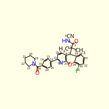 CC(C)(C(=O)NC#N)C1c2ccc(-c3ccc(C(=O)N4CCCCC4)cc3)nc2Oc2c(F)cccc21